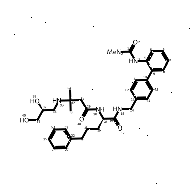 CNC(=O)Nc1ccccc1-c1ccc(CNC(=O)[C@@H](CCCc2ccccc2)NC(=O)CC(C)(C)NC[C@H](O)CO)cc1